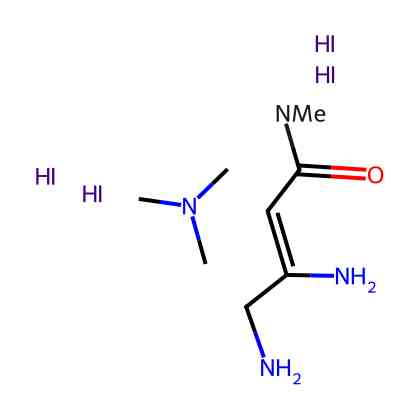 CN(C)C.CNC(=O)C=C(N)CN.I.I.I.I